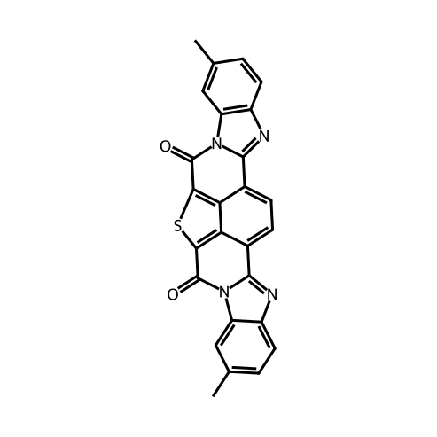 Cc1ccc2nc3c4ccc5c6c(sc(c(=O)n3c2c1)c46)c(=O)n1c2cc(C)ccc2nc51